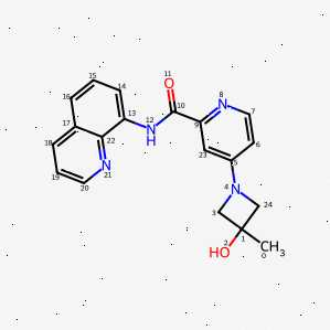 CC1(O)CN(c2ccnc(C(=O)Nc3cccc4cccnc34)c2)C1